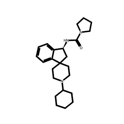 O=C(N[C@H]1CC2(CCN(C3CCCCC3)CC2)c2ccccc21)N1CCCC1